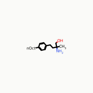 CCCCCCCCc1ccc(CCC(C)(N)CO)cc1